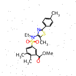 CCN(c1nc(-c2ccc(C)cc2)sc1C)S(=O)(=O)c1cc(C)c(C)c(C(=O)OC)c1